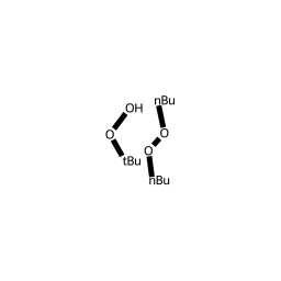 CC(C)(C)OO.CCCCOOCCCC